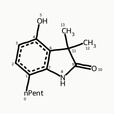 CCCCCc1ccc(O)c2c1NC(=O)C2(C)C